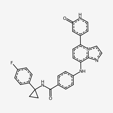 O=C(NC1(c2ccc(F)cc2)CC1)c1ccc(Nc2ccc(-c3cc[nH]c(=O)c3)n3ccnc23)cc1